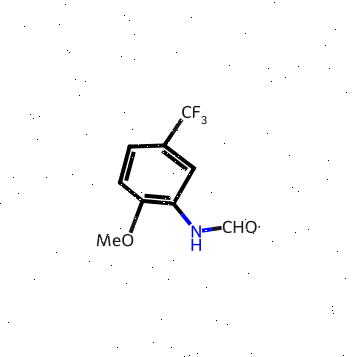 COc1ccc(C(F)(F)F)cc1N[C]=O